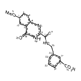 COc1ccc2nc(C(=O)NCc3cccc(C(=O)O)c3)[nH]c(=O)c2c1